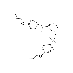 C=CCOc1ccc(C(C)(C)Cc2cccc(C(C)(C)c3ccc(OCC=C)cc3)c2)cc1